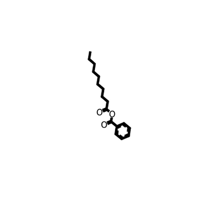 CCCCCCCCCC(=O)OC(=O)c1ccccc1